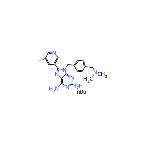 CCCCNc1nc(N)c2nc(-c3cncc(F)c3)n(Cc3ccc(CN(C)C)cc3)c2n1